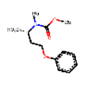 CC(C)(C)OC(=O)N([C@H](CCOc1ccccc1)C(=O)O)C(C)(C)C